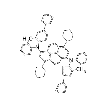 Cc1cc(-c2ccccc2)ccc1N(c1ccccc1)c1cc(C2CCCCC2)c2ccc3c(N(c4ccccc4)c4ccc(-c5ccccc5)cc4C)cc(C4CCCCC4)c4ccc1c2c43